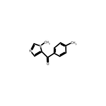 Cc1ccc(C(=O)c2cncn2C)cc1